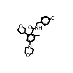 Cc1cc(N2CCOCC2)cc(C2CCOC2)c1C(=O)NCc1ccc(Cl)cc1